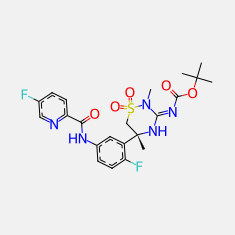 CN1/C(=N\C(=O)OC(C)(C)C)N[C@](C)(c2cc(NC(=O)c3ccc(F)cn3)ccc2F)CS1(=O)=O